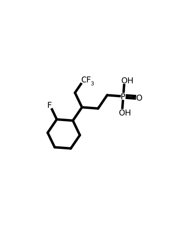 O=P(O)(O)CCC(CC(F)(F)F)C1CCCCC1F